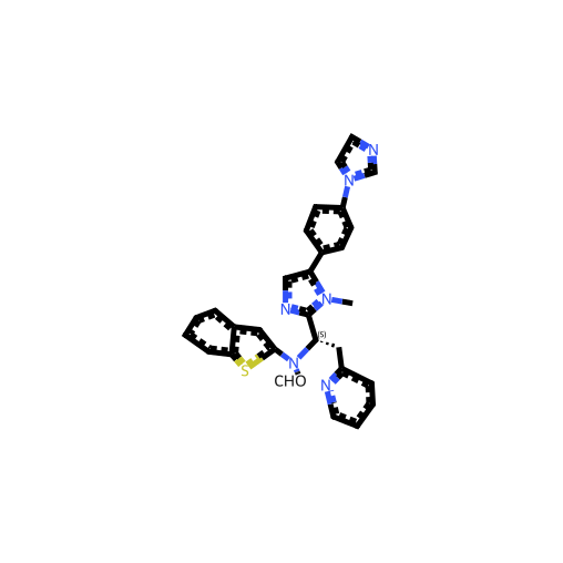 Cn1c(-c2ccc(-n3ccnc3)cc2)cnc1[C@H](Cc1ccccn1)N(C=O)c1cc2ccccc2s1